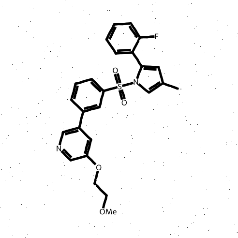 [CH2]c1cc(-c2ccccc2F)n(S(=O)(=O)c2cccc(-c3cncc(OCCOC)c3)c2)c1